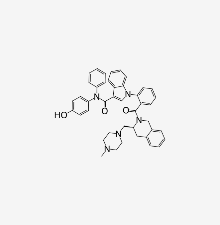 CN1CCN(C[C@@H]2Cc3ccccc3CN2C(=O)c2ccccc2-n2cc(C(=O)N(c3ccccc3)c3ccc(O)cc3)c3ccccc32)CC1